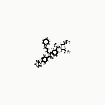 CC(C)CCN(CCC(C)C)C(=O)c1ccc2nc(-c3ccc(-n4cncn4)cc3)n(CCCN3CCCCC3)c2c1